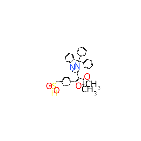 CC1(C)OC(c2ccc(C[SH](=O)=O)cc2)=C(c2cnn(C(c3ccccc3)(c3ccccc3)c3ccccc3)c2)C1=O